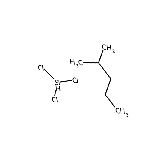 CCCC(C)C.Cl[SiH](Cl)Cl